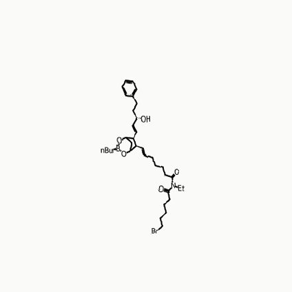 CCCCB1OC2CC(O1)[C@H](C=CCCCCC(=O)N(CC)C(=O)CCCCCBr)[C@@H]2/C=C/[C@@H](O)CCc1ccccc1